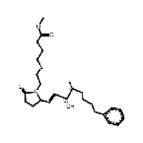 COC(=O)CCCSCCN1C(=O)CCC1C=C[C@@H](O)[C@@H](C)CCCCc1ccccc1